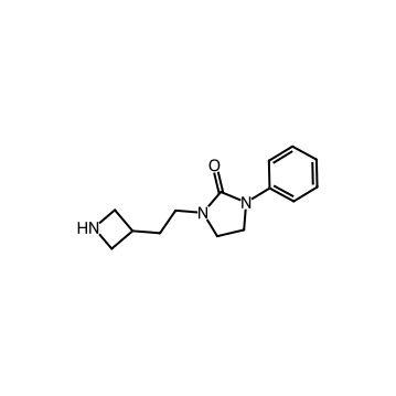 O=C1N(CCC2CNC2)CCN1c1ccccc1